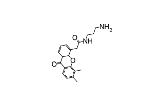 Cc1ccc2c(c1C)OC1C(CC(=O)NCCCN)=CC=CC1C2=O